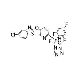 OC(Cn1cnnn1)(c1ccc(F)cc1F)C(F)(F)c1ccc(Oc2nc3cc(Cl)ccc3s2)cn1